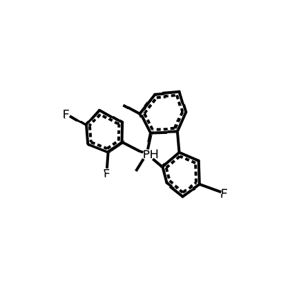 Cc1cccc2c1[PH](C)(c1ccc(F)cc1F)c1ccc(F)cc1-2